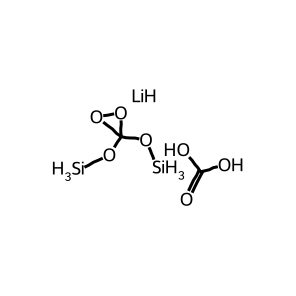 O=C(O)O.[LiH].[SiH3]OC1(O[SiH3])OO1